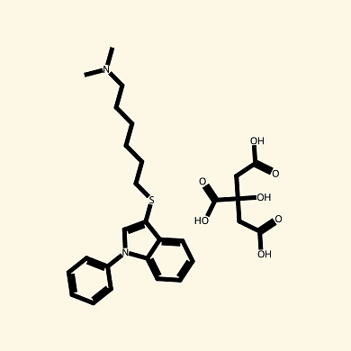 CN(C)CCCCCCSc1cn(-c2ccccc2)c2ccccc12.O=C(O)CC(O)(CC(=O)O)C(=O)O